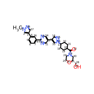 Cn1cc(-c2cccc(-c3ncc(-c4cnn(C5CCC(C(=O)N6CCO[C@@H](CO)C6)CC5)c4)cn3)c2)cn1